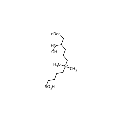 CCCCCCCCCCCC(CCC[N+](C)(C)CCCCS(=O)(=O)O)NO